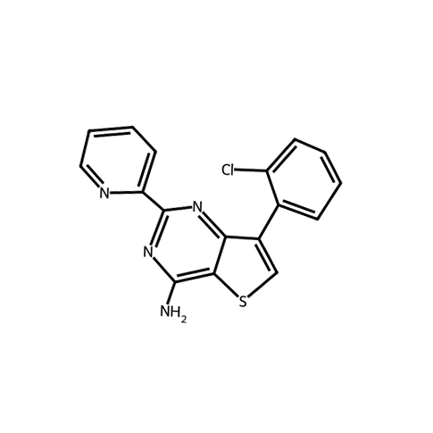 Nc1nc(-c2ccccn2)nc2c(-c3ccccc3Cl)csc12